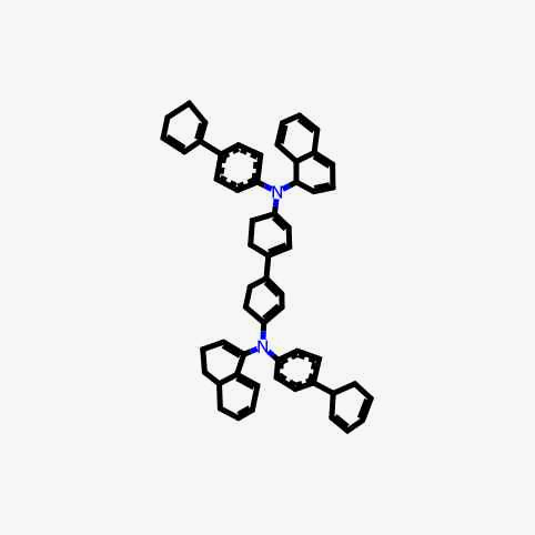 C1=CCC2CCC=C(N(C3=CC=C(C4=CC=C(N(c5ccc(C6=CCCC=C6)cc5)C5C=CC=C6C=CC=CC65)CC4)CC3)c3ccc(C4C=CC=CC4)cc3)C2=C1